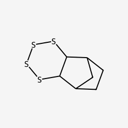 C1CC2CC1C1SSSSC21